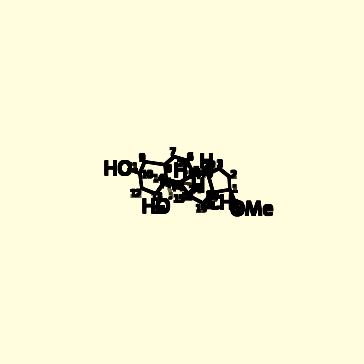 COC1CC[C@H]2[C@@H]3CCC4CC(O)CC[C@]4(CO)[C@@H]3CC[C@]12C